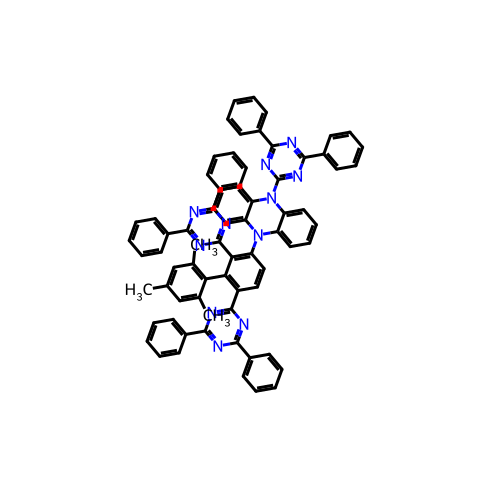 Cc1cc(C)c(-c2c(-c3nc(-c4ccccc4)nc(-c4ccccc4)n3)ccc(N3c4ccccc4N(c4nc(-c5ccccc5)nc(-c5ccccc5)n4)c4ccccc43)c2-c2nc(-c3ccccc3)nc(-c3ccccc3)n2)c(C)c1